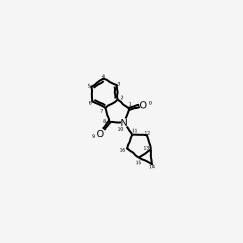 O=C1c2ccccc2C(=O)N1C1CC2CC2C1